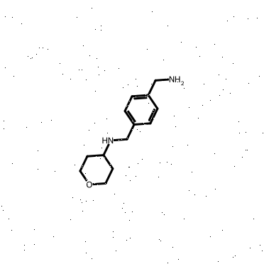 NCc1ccc(CNC2CCOCC2)cc1